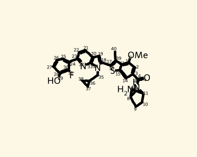 COc1cc(C(=O)N2CC3CCC2[C@@H]3N)cc2sc(-c3cc4ccc(-c5cccc(O)c5F)nc4n3CC3CC3)c(C)c12